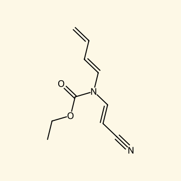 C=CC=CN(C=CC#N)C(=O)OCC